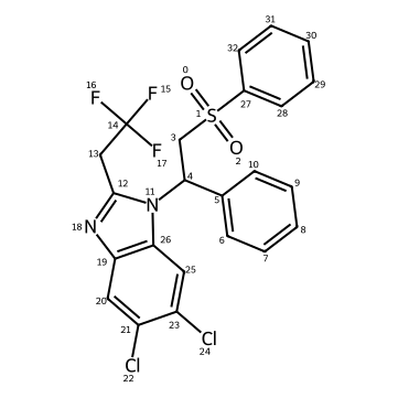 O=S(=O)(CC(c1ccccc1)n1c(CC(F)(F)F)nc2cc(Cl)c(Cl)cc21)c1ccccc1